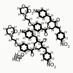 Cl.Cl.O.O=C1C(=Cc2ccc([N+](=O)[O-])cc2)CN(C(=O)c2ccc(OCCN3CCOCC3)cc2)CC1=Cc1ccc([N+](=O)[O-])cc1.O=C1C(=Cc2ccc([N+](=O)[O-])cc2)CN(C(=O)c2ccc(OCCN3CCOCC3)cc2)CC1=Cc1ccc([N+](=O)[O-])cc1